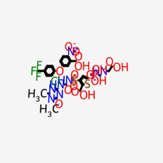 COc1nc(C)nc(NC(=O)NS(=O)(=O)c2ccsc2C(=O)O)n1.O=C(O)CNCP(=O)(O)O.O=C(O)c1cc(Oc2ccc(C(F)(F)F)cc2Cl)ccc1[N+](=O)[O-]